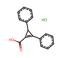 Cl.O=C(O)C1=C(c2ccccc2)C1c1ccccc1